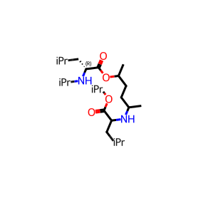 CC(C)CC(NC(C)CCC(C)OC(=O)[C@@H](CC(C)C)NC(C)C)C(=O)OC(C)C